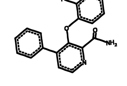 NC(=O)c1nccc(-c2ccccc2)c1Oc1ccccc1F